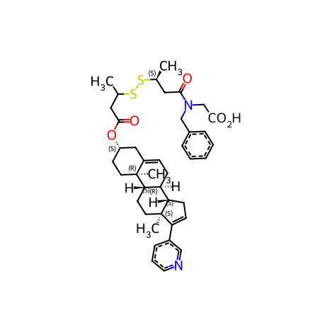 CC(CC(=O)O[C@H]1CC[C@@]2(C)C(=CC[C@@H]3[C@@H]2CC[C@]2(C)C(c4cccnc4)=CC[C@@H]32)C1)SS[C@@H](C)CC(=O)N(CC(=O)O)Cc1ccccc1